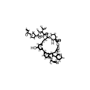 C=CC(=O)N1CC[C@H](C(=O)N(C)[C@H](C(=O)N[C@H]2Cc3cc(O)cc(c3)-c3ccc4c(c3)c(c(-c3cccnc3)n4[C@H](C)C#N)CC(C)(C)COC(=O)[C@@]3(O)CCCN(N3)C2=O)C(C)C)C1